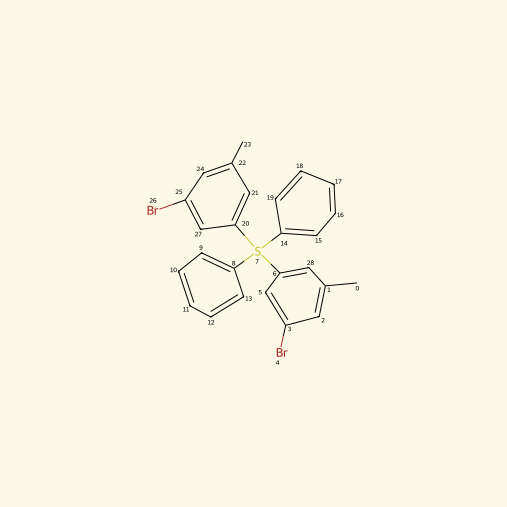 Cc1cc(Br)cc(S(c2ccccc2)(c2ccccc2)c2cc(C)cc(Br)c2)c1